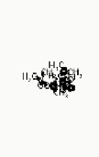 C=CCN(CC=C)C(=O)COc1cc(C)c(Nc2ccc(Nc3c(C)cc(C)cc3C)c3c2C(=O)c2ccccc2C3=O)c(C)c1